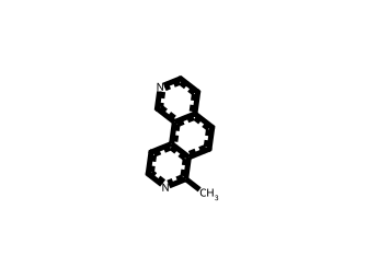 Cc1nccc2c1ccc1ccncc12